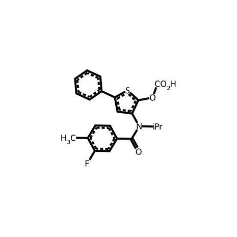 Cc1ccc(C(=O)N(c2cc(-c3ccccc3)sc2OC(=O)O)C(C)C)cc1F